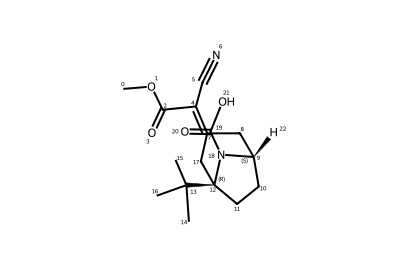 COC(=O)C(C#N)=C1C[C@@H]2CC[C@](C(C)(C)C)(C1)N2C(=O)O